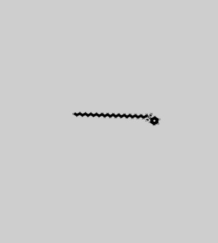 CCCCCCCCCCCCCCCCCCCCCCCCCC[CH][Si](C)(C)c1ccccc1